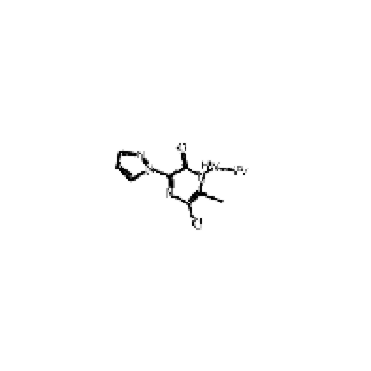 Cc1c(Cl)nc(-n2cccn2)c(=O)n1NC(C)C